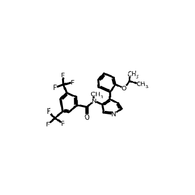 CC(C)Oc1ccccc1-c1ccncc1N(C)C(=O)c1cc(C(F)(F)F)cc(C(F)(F)F)c1